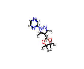 Cc1nn(-c2cnccn2)c(C)c1B1OC(C)(C)C(C)(C)O1